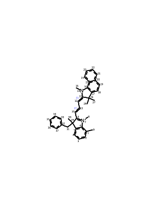 Cc1cccc2c1[N+](C)=C(/C=C/C=C1/N(C)c3c(ccc4ccccc34)C1(C)C)C2(C)Cc1ccccc1